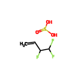 C=CC(F)C(F)F.O=S(O)O